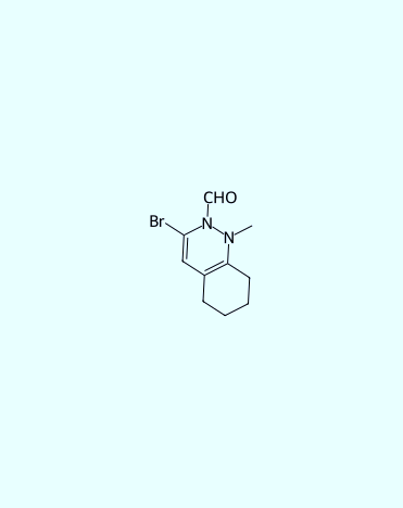 CN1C2=C(C=C(Br)N1C=O)CCCC2